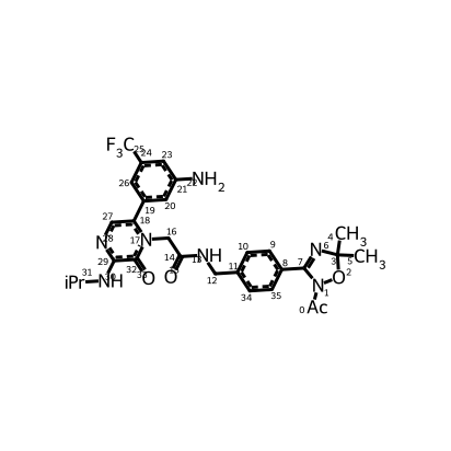 CC(=O)N1OC(C)(C)N=C1c1ccc(CNC(=O)Cn2c(-c3cc(N)cc(C(F)(F)F)c3)cnc(NC(C)C)c2=O)cc1